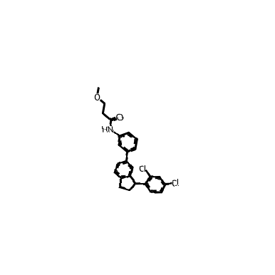 COCCC(=O)Nc1cccc(-c2ccc3c(c2)C(c2ccc(Cl)cc2Cl)CC3)c1